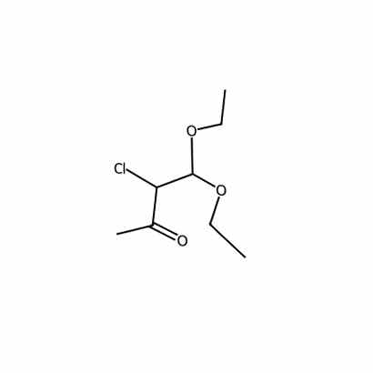 CCOC(OCC)C(Cl)C(C)=O